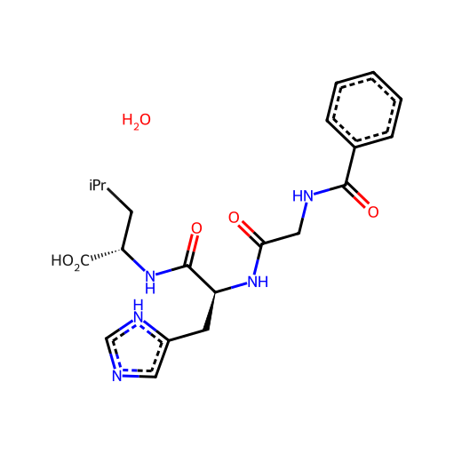 CC(C)C[C@H](NC(=O)[C@H](Cc1cnc[nH]1)NC(=O)CNC(=O)c1ccccc1)C(=O)O.O